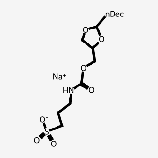 CCCCCCCCCCC1OCC(COC(=O)NCCCS(=O)(=O)[O-])O1.[Na+]